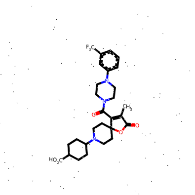 CC1=C(C(=O)N2CCN(c3cccc(C(F)(F)F)c3)CC2)C2(CCN(C3CCC(C(=O)O)CC3)CC2)OC1=O